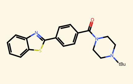 CC(C)(C)N1CCN(C(=O)c2ccc(-c3nc4ccccc4s3)cc2)CC1